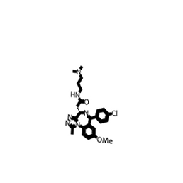 COc1ccc2c(c1)C(c1ccc(Cl)cc1)=N[C@@H](CC(=O)NCCCN(C)C)c1nnc(C)n1-2